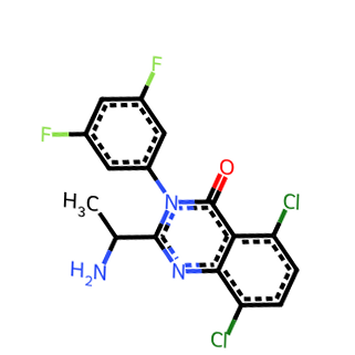 CC(N)c1nc2c(Cl)ccc(Cl)c2c(=O)n1-c1cc(F)cc(F)c1